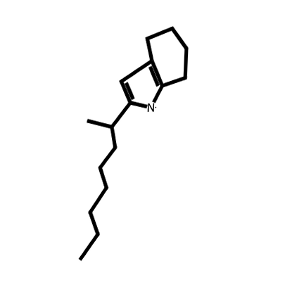 CCCCCCC(C)C1=CC2=C(CCCC2)[N]1